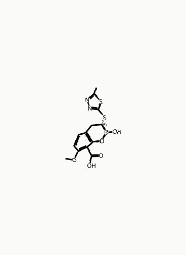 COc1ccc2c(c1C(=O)O)OB(O)[C@@H](Sc1nnc(C)s1)C2